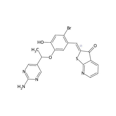 CC(Oc1cc(/C=C2\Sc3ncccc3C2=O)c(Br)cc1O)c1cnc(N)nc1